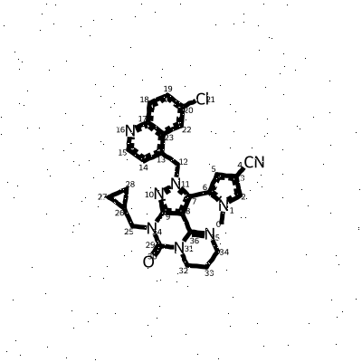 Cn1cc(C#N)cc1-c1c2c(nn1Cc1ccnc3ccc(Cl)cc13)N(CC1CC1)C(=O)N1CCCN=C21